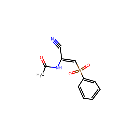 CC(=O)NC(C#N)=CS(=O)(=O)c1ccccc1